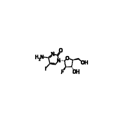 Nc1nc(=O)n([C@@H]2O[C@@H](CO)[C@H](O)[C@H]2F)cc1I